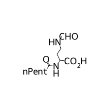 [CH2]CCCCC(=O)NC(CCNC=O)C(=O)O